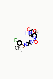 O=C1CO[C@H]2CCN(C(=O)N3CC4(CN(SC5C=CC(F)CC5C(F)(F)F)C4)C3)C[C@H]2N1